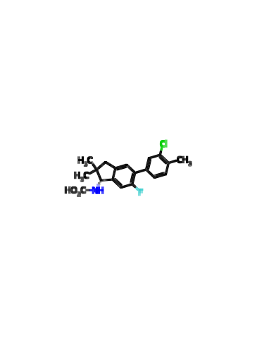 Cc1ccc(-c2cc3c(cc2F)[C@H](NC(=O)O)C(C)(C)C3)cc1Cl